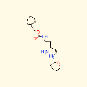 NC(/C=C\NC1CCCCO1)CCNC(=O)OCc1ccccc1